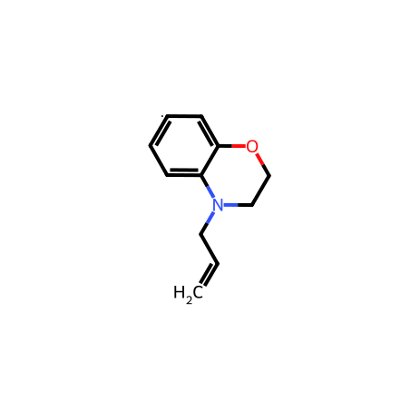 C=CCN1CCOc2c[c]ccc21